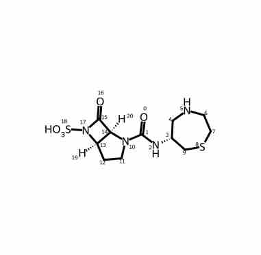 O=C(N[C@@H]1CNCCSC1)N1CC[C@@H]2[C@H]1C(=O)N2S(=O)(=O)O